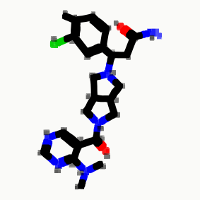 Cc1ccc(C(CC(N)=O)N2CC3CN(C(=O)c4cncnc4N(C)C)CC3C2)cc1Cl